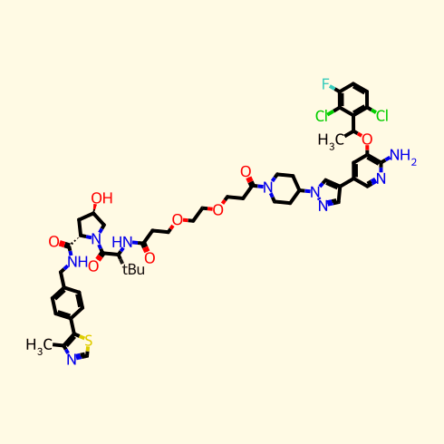 Cc1ncsc1-c1ccc(CNC(=O)[C@@H]2C[C@@H](O)CN2C(=O)C(NC(=O)CCOCCOCCC(=O)N2CCC(n3cc(-c4cnc(N)c(OC(C)c5c(Cl)ccc(F)c5Cl)c4)cn3)CC2)C(C)(C)C)cc1